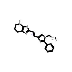 CCn1cc(/C=C/c2nc3c(s2)NCCC3)nc1-c1ccccc1